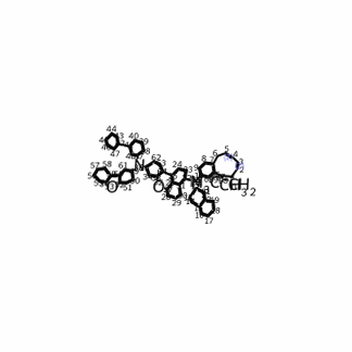 C=C1/C=C\C=C/Cc2ccc(N(c3ccc4ccccc4c3)c3ccc4c5c(cccc35)Oc3cc(N(c5cccc(-c6ccccc6)c5)c5ccc6oc7ccccc7c6c5)ccc3-4)cc2C1(C)C